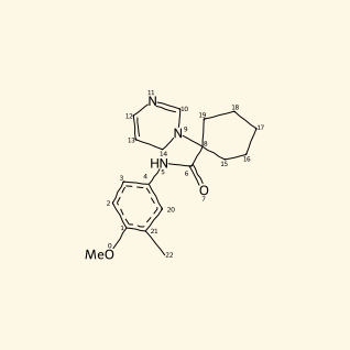 COc1ccc(NC(=O)C2(N3C=NC=CC3)CCCCC2)cc1C